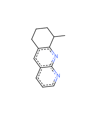 CC1CCCc2cc3cccnc3nc21